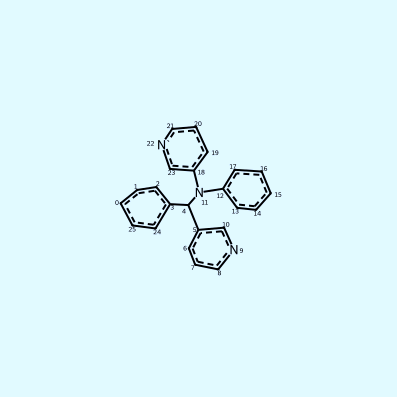 c1ccc(C(c2cccnc2)N(c2ccccc2)c2cccnc2)cc1